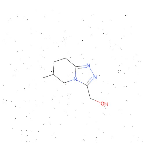 CC1CCc2nnc(CO)n2C1